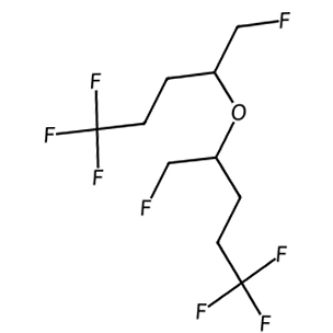 FCC(CCC(F)(F)F)OC(CF)CCC(F)(F)F